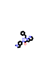 Cn1ccc2cc(NC(=O)c3cc4cccnc4n3CCc3ccccc3)ccc21